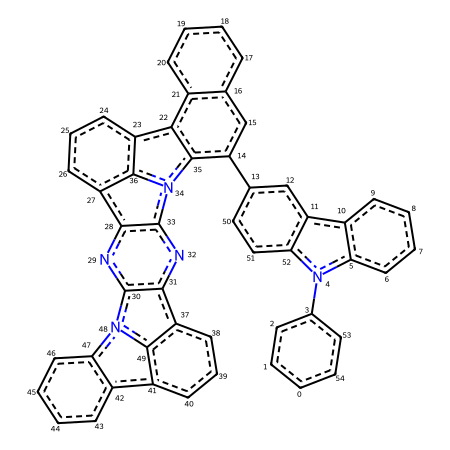 c1ccc(-n2c3ccccc3c3cc(-c4cc5ccccc5c5c6cccc7c8nc9c(nc8n(c45)c76)c4cccc5c6ccccc6n9c54)ccc32)cc1